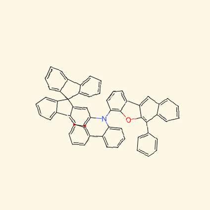 c1ccc(-c2ccccc2N(c2ccc3c(c2)C2(c4ccccc4-c4ccccc42)c2ccccc2-3)c2cccc3c2oc2c(-c4ccccc4)c4ccccc4cc23)cc1